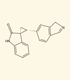 O=C1Nc2ccccc2[C@@]12C[C@@H]2c1ccc2c(c1)CN=C2